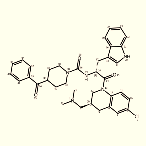 CN(C)C[C@@H]1Cc2cc(Cl)ccc2N(C(=O)[C@@H](Cc2c[nH]c3ccccc23)NC(=O)N2CCC(C(=O)c3ccccc3)CC2)C1